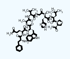 CC(C)C[C@H](NC(=O)[C@H](Cc1c[nH]cn1)N(C)C(=O)CNC(=O)[C@@H](NC(=O)[C@H](C)NC(=O)[C@H](Cc1c[nH]c2ccccc12)NC(=O)[C@H](CCC(N)=O)NC(=O)[C@H](N)Cc1ccccc1)C(C)C)C(=O)N1CSC[C@H]1C(N)=O